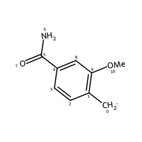 [CH2]c1ccc(C(N)=O)cc1OC